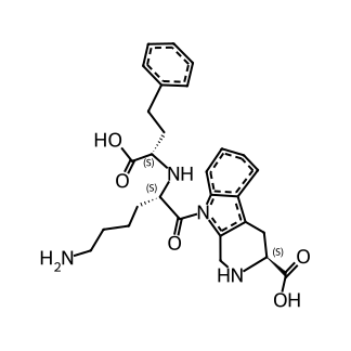 NCCCC[C@H](N[C@@H](CCc1ccccc1)C(=O)O)C(=O)n1c2c(c3ccccc31)C[C@@H](C(=O)O)NC2